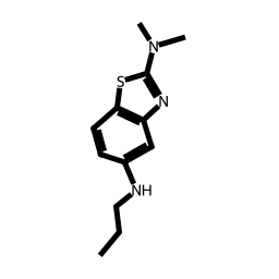 CCCNc1ccc2sc(N(C)C)nc2c1